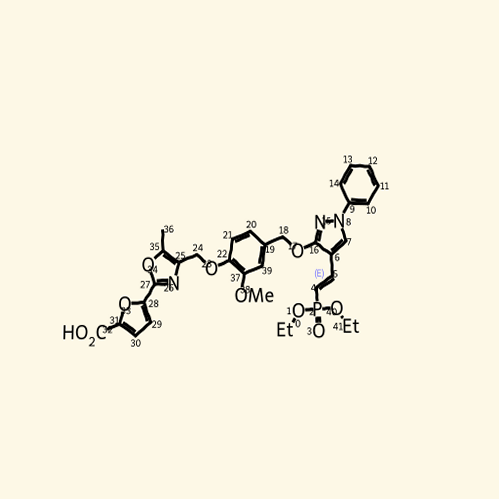 CCOP(=O)(/C=C/c1cn(-c2ccccc2)nc1OCc1ccc(OCc2nc(-c3ccc(C(=O)O)o3)oc2C)c(OC)c1)OCC